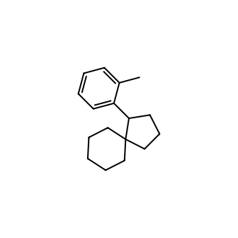 Cc1ccccc1C1CCCC12CCCCC2